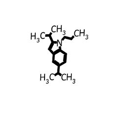 CCCn1c(C(C)C)cc2cc(C(C)C)ccc21